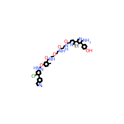 CCc1c(-c2ccc(C(=O)NCCC(=O)NCCOCCNC(=O)c3cc(Oc4nc5cc(-c6ccc7c(ccn7C)c6)c(Cl)cc5[nH]4)ccc3C)nc2)cnc(N)c1-c1ccc(O)cc1